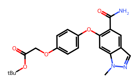 Cn1ncc2cc(C(N)=O)c(Oc3ccc(OCC(=O)OC(C)(C)C)cc3)cc21